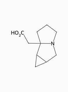 O=C(O)CC12CCCN1CC1CC12